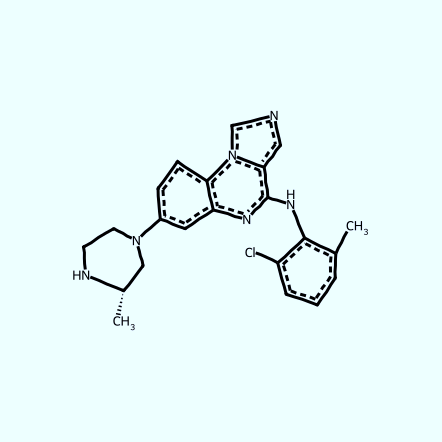 Cc1cccc(Cl)c1Nc1nc2cc(N3CCN[C@@H](C)C3)ccc2n2cncc12